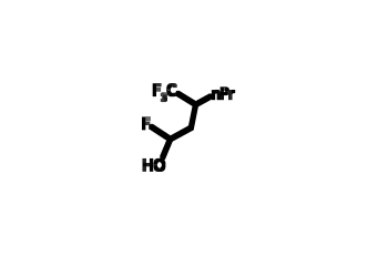 CCCC(CC(O)F)C(F)(F)F